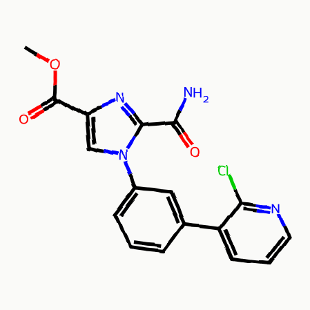 COC(=O)c1cn(-c2cccc(-c3cccnc3Cl)c2)c(C(N)=O)n1